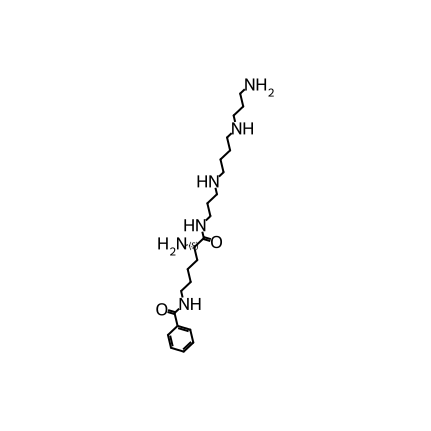 NCCCNCCCCNCCCNC(=O)[C@@H](N)CCCCNC(=O)c1ccccc1